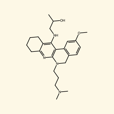 COc1ccc2c(c1)-c1c(nc3c(c1NCC(C)O)CCCC3)N(CCCN(C)C)C2